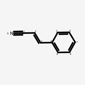 N#CC=Cc1[c]cccc1